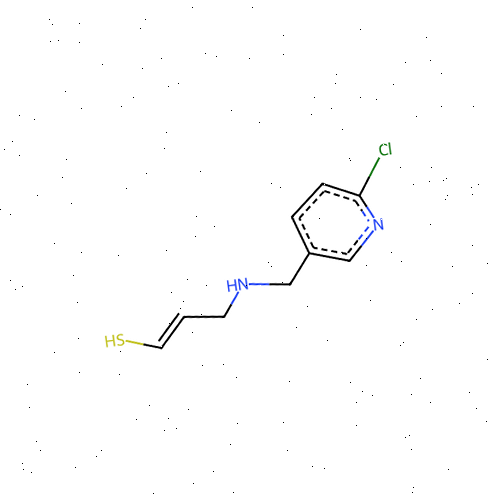 SC=CCNCc1ccc(Cl)nc1